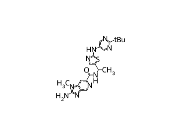 CC(NC(=O)c1cc2c(cn1)nc(N)n2C)c1cnc(Nc2cnc(C(C)(C)C)nc2)s1